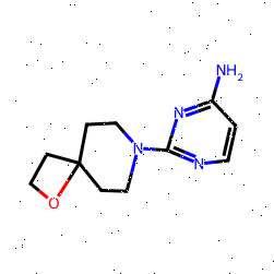 Nc1ccnc(N2CCC3(CCO3)CC2)n1